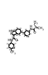 CN(C)C(=O)Nc1cncc(-c2ccc3[nH]nc(C(=O)Nc4ccc(C(F)(F)F)nc4)c3c2)c1